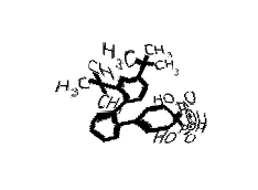 CC(C)(C)c1ccc(-c2ccccc2C2=CCC(P(=O)(O)O)(P(=O)(O)O)C=C2)c(C(C)(C)C)c1